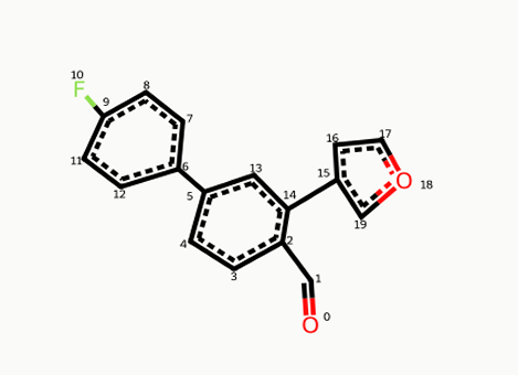 O=Cc1ccc(-c2ccc(F)cc2)cc1-c1ccoc1